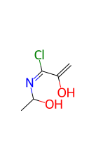 C=C(O)/C(Cl)=N\C(C)O